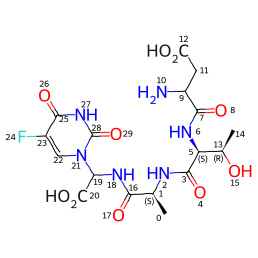 C[C@H](NC(=O)[C@@H](NC(=O)C(N)CC(=O)O)[C@@H](C)O)C(=O)NC(C(=O)O)n1cc(F)c(=O)[nH]c1=O